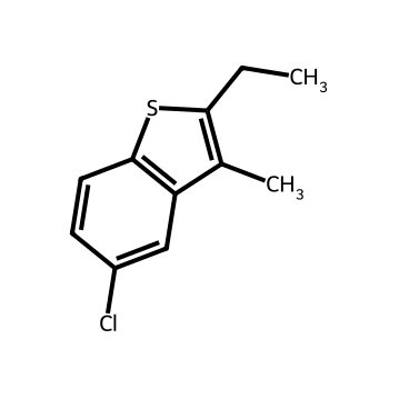 CCc1sc2ccc(Cl)cc2c1C